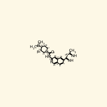 CC(=N)SC(=N)c1ccc2cnc(NC(=O)N3CC[C@H](N(C)C)[C@@H](F)C3)cc2c1